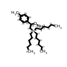 CCCCCC[N+](CCCCCC)(CCCCCC)CC(ON)c1ccc(C)cc1